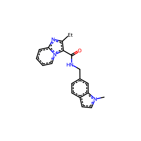 CCc1nc2ccccn2c1C(=O)NCc1ccc2ccn(C)c2c1